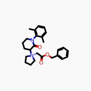 Cc1cccc(C)c1N1CCCC([N+]2(CC(=O)OCc3ccccc3)CCCC2)C1=O